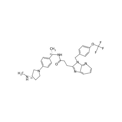 CN[C@H]1CCN(c2ccc([C@H](C)NC(=O)CCc3nc4cccnc4n3Cc3ccc(OC(F)(F)F)cc3)cc2)C1